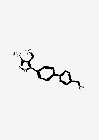 CCc1ccc(-c2ccc(-c3onc(C)c3CC)cc2)cc1